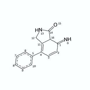 N=C1C=CC(c2ccccc2)=C2CNC(=O)C12